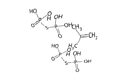 C=C(C)C.O=P(O)(O)SP(=O)(O)O.O=P(O)(O)SP(=O)(O)O